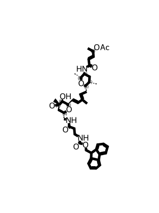 CC(=O)O[C@@H](C)C=CC(=O)N[C@@H]1C[C@H](C)[C@H](CC=C(C)C=C[C@H]2O[C@H](CNC(=O)CCNC(=O)OCC3c4ccccc4-c4ccccc43)C[C@@]3(CO3)[C@@H]2O)O[C@@H]1C